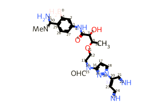 Bc1cc(NC(=O)C(O)C(C)OCCN(C=O)c2ccn(/C(C=N)=C/C=N)n2)ccc1C(N)NC